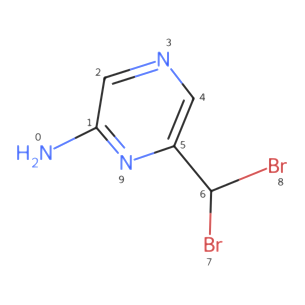 Nc1cncc(C(Br)Br)n1